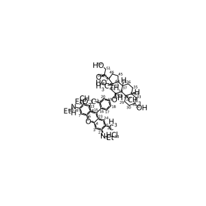 CC/N=c1/cc2oc3cc(NCC)c(C)cc3c(-c3ccccc3C(=O)OCC)c-2cc1C.C[C@]12CC[C@@H](O)C[C@H]1CC[C@@H]1[C@@H]2C(=O)C[C@@]2(C)[C@H]1CC[C@]2(O)C(=O)CO.Cl